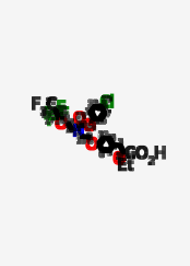 CCOC(Cc1ccc(OCCN(CCOC(F)(F)C(F)(F)C(F)(F)F)C(=O)Oc2ccc(Cl)cc2)cc1)C(=O)O